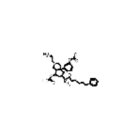 C=CCN1CCC2(c3cccc(OC(C)=O)c3)CC(N(C)C(=O)CCCCCc3ccccc3)CC(OC(C)=O)C2C1